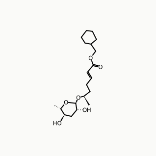 C[C@H](CC/C=C/C(=O)OCC1CCCCC1)O[C@@H]1O[C@@H](C)[C@H](O)C[C@H]1O